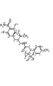 Cc1ccc(C(CC(=O)NCC(Cc2cc(F)c(C(N)=O)c(F)c2)N(C)C)C2(C(F)(F)F)CC2)cn1